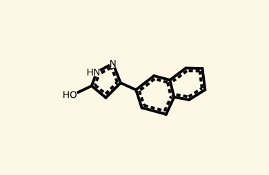 Oc1cc(-c2ccc3ccccc3c2)n[nH]1